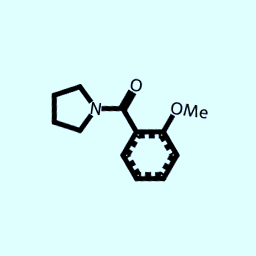 COc1ccccc1C(=O)N1CCCC1